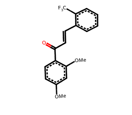 COc1ccc(C(=O)C=Cc2ccccc2C(F)(F)F)c(OC)c1